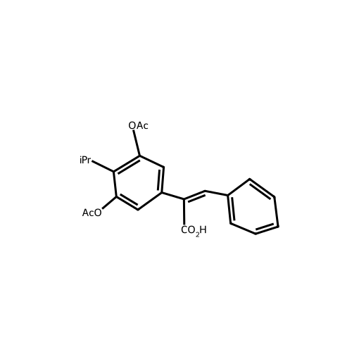 CC(=O)Oc1cc(C(=Cc2ccccc2)C(=O)O)cc(OC(C)=O)c1C(C)C